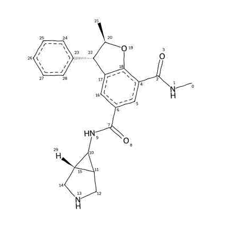 CNC(=O)c1cc(C(=O)NC2C3CNC[C@@H]32)cc2c1O[C@H](C)[C@H]2c1ccccc1